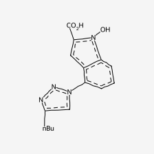 CCCCc1cn(-c2cccc3c2cc(C(=O)O)n3O)nn1